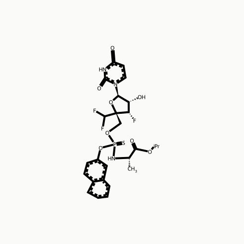 CC(C)OC(=O)[C@H](C)NP(=S)(OC[C@@]1(C(F)F)O[C@@H](n2ccc(=O)[nH]c2=O)[C@H](O)[C@@H]1F)Oc1ccc2ccccc2c1